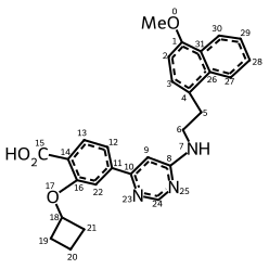 COc1ccc(CCNc2cc(-c3ccc(C(=O)O)c(OC4CCC4)c3)ncn2)c2ccccc12